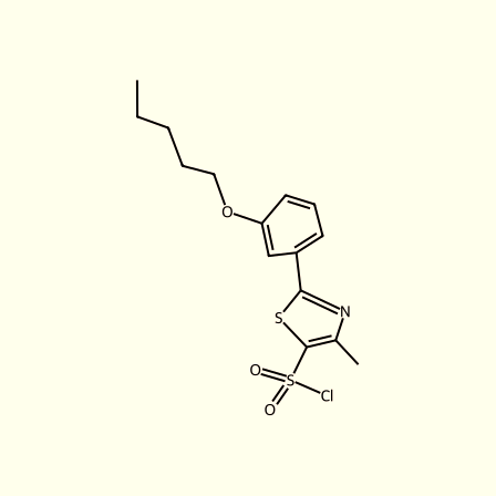 CCCCCOc1cccc(-c2nc(C)c(S(=O)(=O)Cl)s2)c1